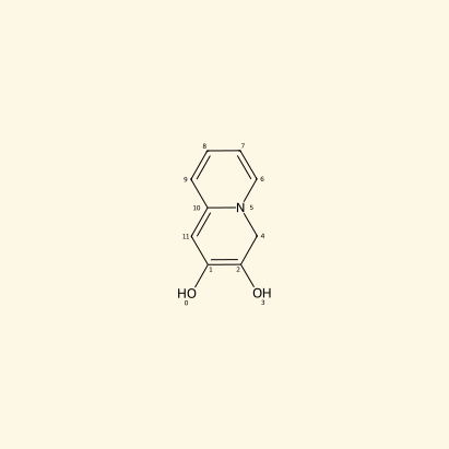 OC1=C(O)CN2C=CC=CC2=C1